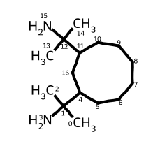 CC(C)(N)C1CCCCCCC(C(C)(C)N)C1